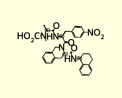 C[C@@H](C(=O)N[C@@H](Cc1ccc([N+](=O)[O-])cc1)C(=O)N1Cc2ccccc2C[C@H]1C(=O)N[C@@H]1CCCc2ccccc21)N(C)C(=O)O